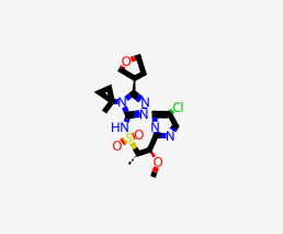 CO[C@H](c1ncc(Cl)cn1)[C@H](C)S(=O)(=O)Nc1nnc([C@@H]2CCOC2)n1C1(C)CC1